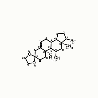 CC(=O)C1CCC2C3CC=C4CC5(CC[C@]4(C)C3[C@@H](O)C[C@]12C)OCCO5